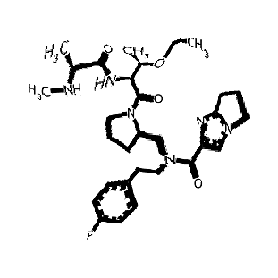 CCO[C@H](C)[C@H](NC(=O)[C@H](C)NC)C(=O)N1CCCC1CN(CCc1ccc(F)cc1)C(=O)c1cn2c(n1)CCC2